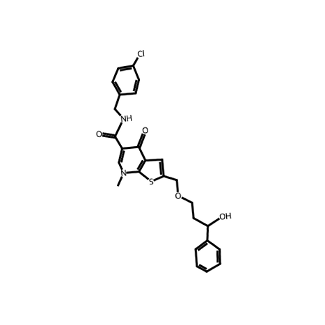 Cn1cc(C(=O)NCc2ccc(Cl)cc2)c(=O)c2cc(COCCC(O)c3ccccc3)sc21